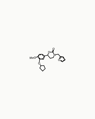 COc1ccc(C2CCN(Cc3ccco3)C(=O)O2)cc1OC1CCCC1